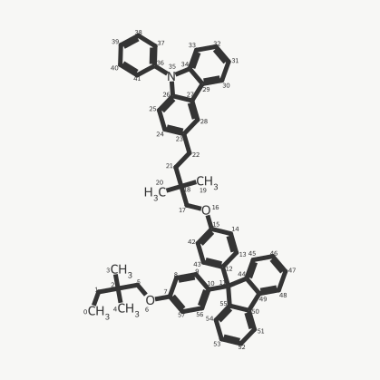 CCC(C)(C)COc1ccc(C2(c3ccc(OCC(C)(C)CCc4ccc5c(c4)c4ccccc4n5-c4ccccc4)cc3)c3ccccc3-c3ccccc32)cc1